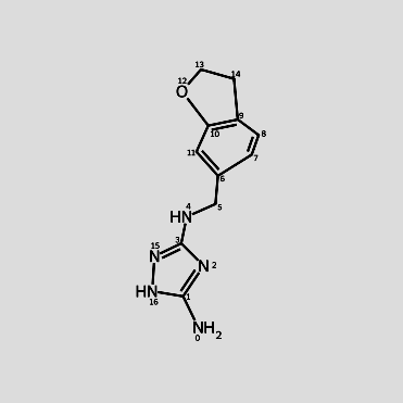 Nc1nc(NCc2ccc3c(c2)OCC3)n[nH]1